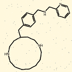 c1ccc(CNCc2ccc(CC3CCNCCCCCCCNCC3)cc2)nc1